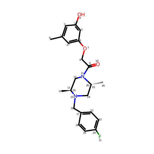 Cc1cc(O)cc(OCC(=O)N2C[C@H](C)N(Cc3ccc(F)cc3)C[C@H]2C)c1